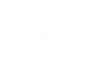 O=C(O)c1cn(P)nc1C(F)(F)F